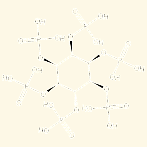 O=P(O)(O)O[C@H]1[C@@H](OP(=O)(O)O)[C@@H](OP(=O)(O)O)[C@@H](OP(=O)(O)O)[C@@H](OP(=O)(O)O)[C@@H]1OP(=O)(O)O